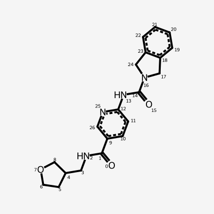 O=C(NCC1CCOC1)c1ccc(NC(=O)N2Cc3ccccc3C2)nc1